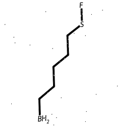 BCCCCCSF